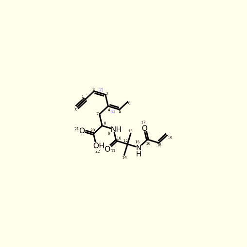 C#C/C=C\C(=C/C)CC(NC(=O)C(C)(C)NC(=O)C=C)C(=O)O